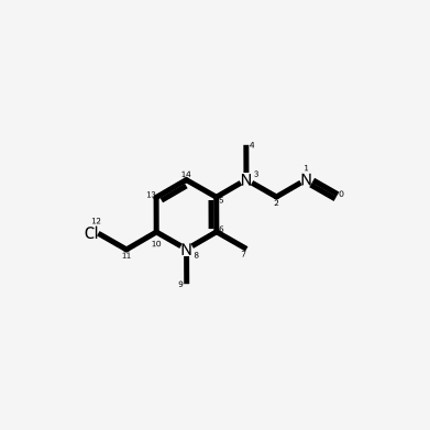 C=NCN(C)C1=C(C)N(C)C(CCl)C=C1